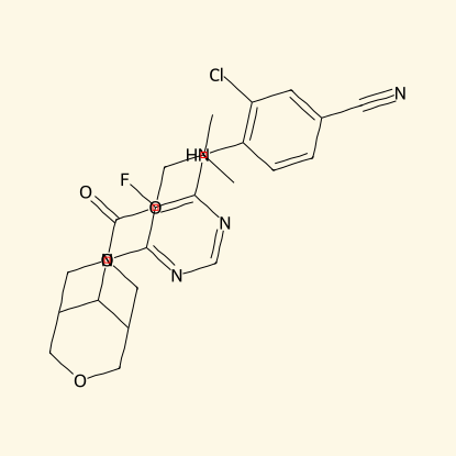 CC(C)COC(=O)N1CC2COCC(C1)C2Oc1ncnc(Nc2ccc(C#N)cc2Cl)c1F